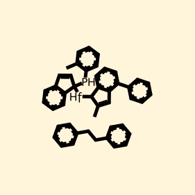 CC1=Cc2c(-c3ccccc3)cccc2[CH]1[Hf][C]1(Pc2ccccc2C)C=Cc2ccccc21.c1ccc(CCc2ccccc2)cc1